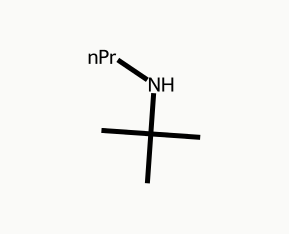 CCCNC(C)(C)C